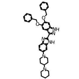 c1ccc(COc2cc3[nH]nc(-c4nc5ccc(N6CCC(N7CCCCC7)CC6)cc5[nH]4)c3cc2OCc2ccccc2)cc1